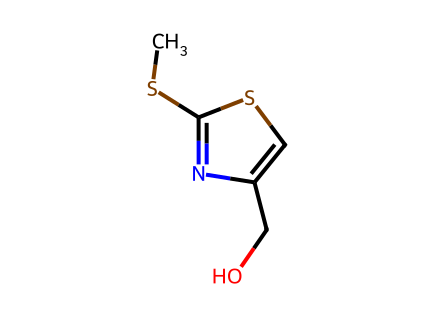 CSc1nc(CO)cs1